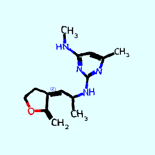 C=C1OCC/C1=C/C(C)Nc1nc(C)cc(NC)n1